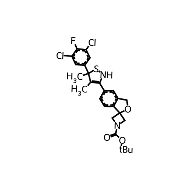 CC1=C(c2ccc3c(c2)COC32CN(C(=O)OC(C)(C)C)C2)NSC1(C)c1cc(Cl)c(F)c(Cl)c1